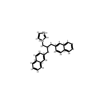 c1ccc2cc(C[C](Cc3ccc4ccccc4c3)Cn3ccnc3)ccc2c1